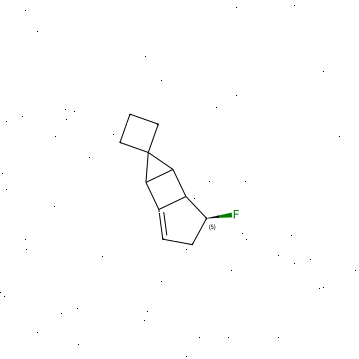 F[C@H]1CC=C2C1C1C2C12CCC2